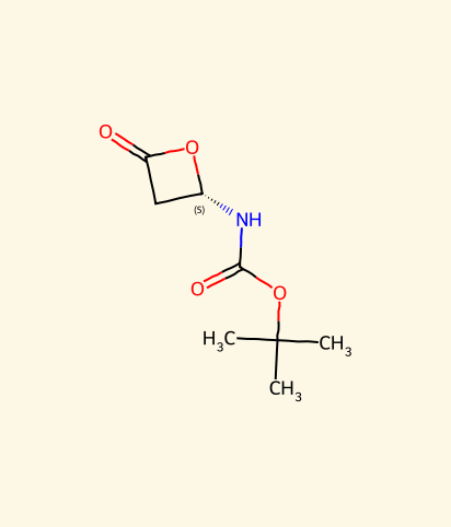 CC(C)(C)OC(=O)N[C@@H]1CC(=O)O1